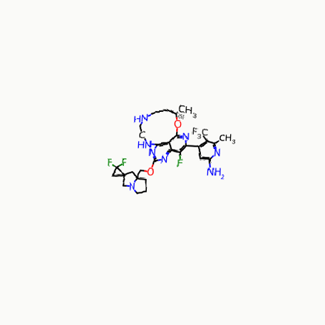 Cc1nc(N)cc(-c2nc3c4c(nc(OCC56CCCN5CC5(C6)CC5(F)F)nc4c2F)NCCNCC[C@H](C)O3)c1C(F)(F)F